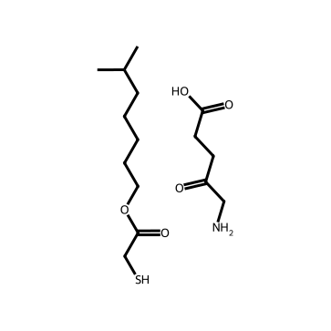 CC(C)CCCCCOC(=O)CS.NCC(=O)CCC(=O)O